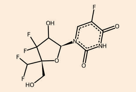 O=c1[nH]c(=O)n([C@H]2O[C@](CO)(C(F)F)C(F)(F)C2O)cc1F